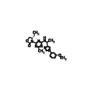 CC[C@H]1COC(=O)N1c1nc(C)nc(N[C@@H](C)c2cn(-c3cccc(OC)c3)cn2)n1